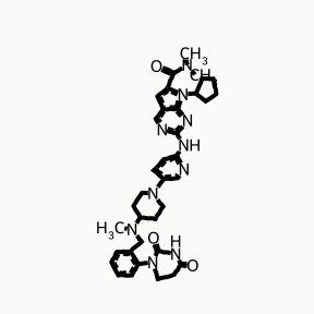 CN(C)C(=O)c1cc2cnc(Nc3ccc(N4CCC(N(C)Cc5ccccc5N5CCC(=O)NC5=O)CC4)cn3)nc2n1C1CCCC1